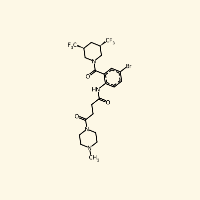 CN1CCN(C(=O)CCC(=O)Nc2ccc(Br)cc2C(=O)N2C[C@H](C(F)(F)F)C[C@H](C(F)(F)F)C2)CC1